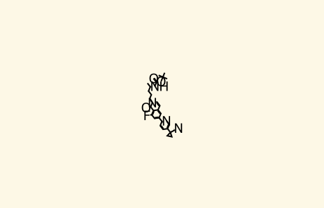 CC(CCCn1ccc2cc(-c3ccc(C4(C#N)CC4)cn3)cc(F)c2c1=O)NC(=O)OC(C)(C)C